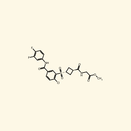 COC(=O)CNC(=O)[C@H]1C[C@H](S(=O)(=O)c2cc(C(=O)Nc3ccc(F)c(F)c3)ccc2Cl)C1